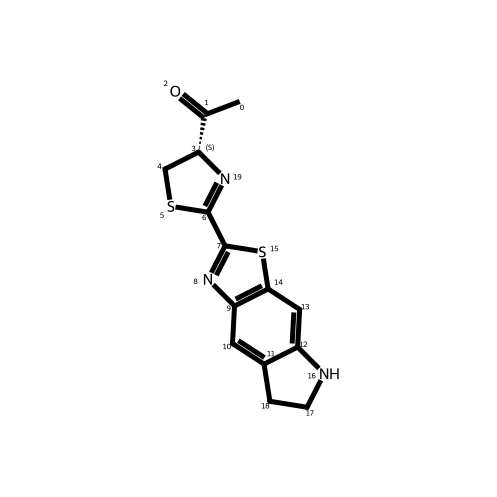 CC(=O)[C@H]1CSC(c2nc3cc4c(cc3s2)NCC4)=N1